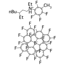 CCCCC(CC)CC[NH+](CC)c1c(F)c(C)c(F)c(F)c1F.Fc1ccc2c([B-](c3c(F)c(F)c(F)c4c(F)c(F)ccc34)(c3c(F)c(F)c(F)c4c(F)c(F)ccc34)c3c(F)c(F)c(F)c4c(F)c(F)ccc34)c(F)c(F)c(F)c2c1F